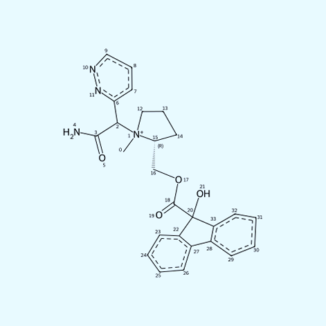 C[N+]1(C(C(N)=O)c2cccnn2)CCC[C@@H]1COC(=O)C1(O)c2ccccc2-c2ccccc21